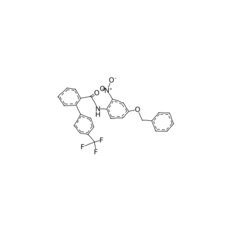 O=C(Nc1ccc(OCc2ccccc2)cc1[N+](=O)[O-])c1ccccc1-c1ccc(C(F)(F)F)cc1